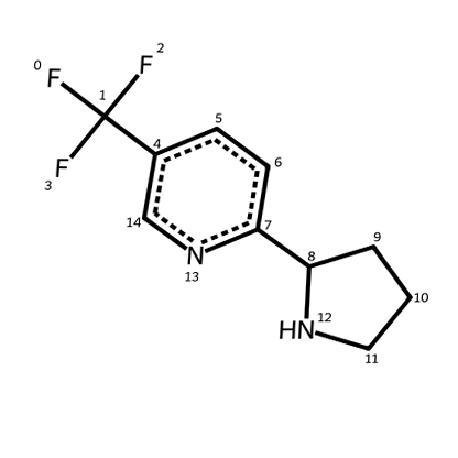 FC(F)(F)c1ccc(C2CCCN2)nc1